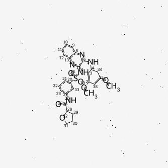 COC1=CC(Nc2nc3ccccc3nc2NS(=O)(=O)c2cccc(NC(=O)C3CCCO3)c2)CC(OC)=C1